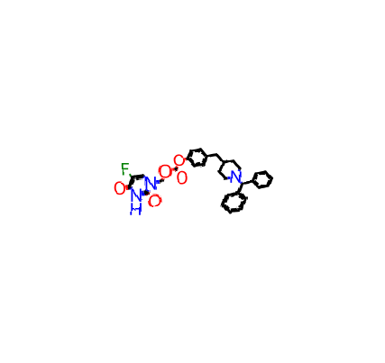 O=C(OCn1cc(F)c(=O)[nH]c1=O)Oc1ccc(CC2CCN(C(c3ccccc3)c3ccccc3)CC2)cc1